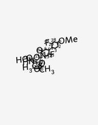 COc1ccc(-c2cc(=O)n(CCC(C)(C(=O)NOO)S(C)(=O)=O)cc2F)c(F)c1